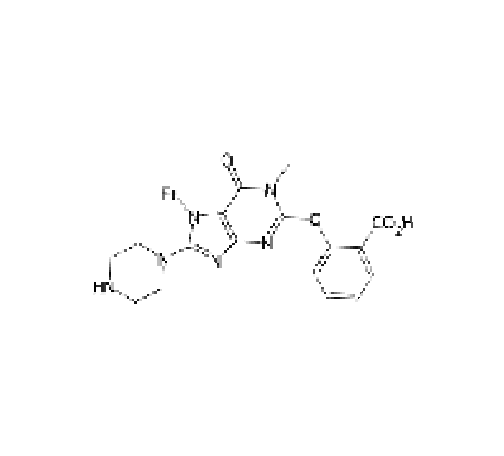 CCn1c(N2CCNCC2)nc2nc(Oc3ccccc3C(=O)O)n(C)c(=O)c21